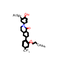 COCCOc1cc(C(F)(F)F)ccc1-c1ccc2c(c1)CCN(c1ccc(O)c(NC(C)=O)c1)C2=O